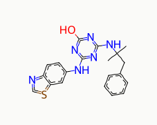 CC(C)(Cc1ccccc1)Nc1nc(O)nc(Nc2ccc3ncsc3c2)n1